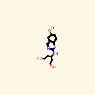 CCOc1ccc2nc(NC(CCO)CCO)ncc2c1